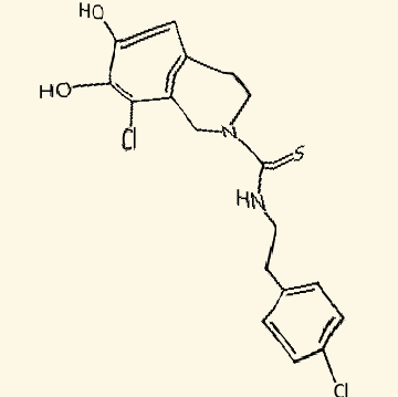 Oc1cc2c(c(Cl)c1O)CN(C(=S)NCCc1ccc(Cl)cc1)CC2